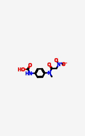 CN(C(=O)C[N+](=O)[O-])c1ccc(NC(=O)O)cc1